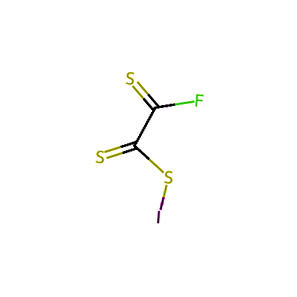 FC(=S)C(=S)SI